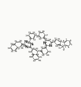 CC1(C)c2ccccc2-c2ccc(-c3cc(-c4cccc(-c5cccc(-c6nc(-c7ccc8ccccc8c7)nc(-c7ccc8ccccc8c7)n6)c5)c4)nc(-c4ccccc4)n3)cc21